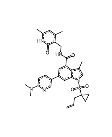 C=CCC1(S(=O)(=O)n2cc(C)c3c(C(=O)NCc4c(C)cc(C)[nH]c4=O)cc(-c4ccc(N(C)C)nc4)cc32)CC1